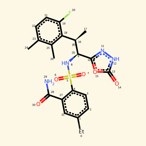 CCc1ccc(S(=O)(=O)N[C@H](c2n[nH]c(=O)o2)[C@H](C)c2c(F)ccc(C)c2C)c(C(N)=O)c1